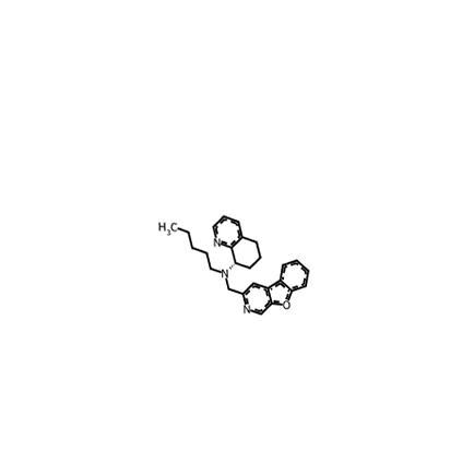 CCCCCN(Cc1cc2c(cn1)oc1ccccc12)[C@H]1CCCc2cccnc21